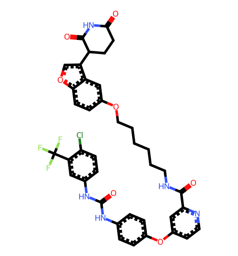 O=C1CCC(c2coc3ccc(OCCCCCCNC(=O)c4cc(Oc5ccc(NC(=O)Nc6ccc(Cl)c(C(F)(F)F)c6)cc5)ccn4)cc23)C(=O)N1